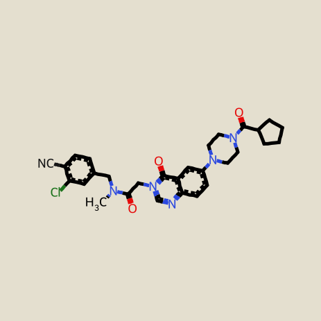 CN(Cc1ccc(C#N)c(Cl)c1)C(=O)Cn1cnc2ccc(N3CCN(C(=O)C4CCCC4)CC3)cc2c1=O